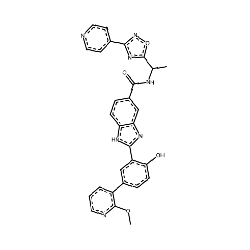 COc1ncccc1-c1ccc(O)c(-c2nc3cc(C(=O)NC(C)c4nc(-c5ccncc5)no4)ccc3[nH]2)c1